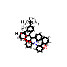 CC(C)(C)c1ccc2c(c1)C(C)(C)c1cccc(-c3ccccc3N(c3cccc(-c4ccccc4)c3)c3cccc4oc5ccccc5c34)c1-2